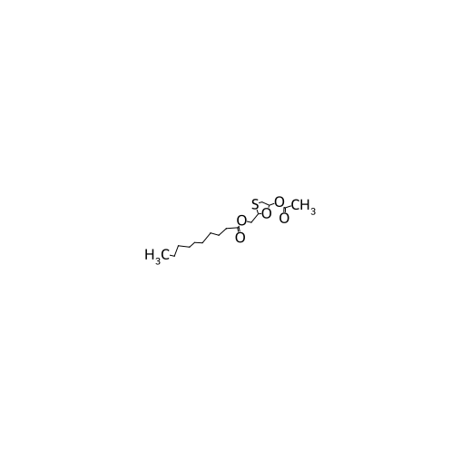 CCCCCCCCCC(=O)OCC1OC(OC(C)=O)CS1